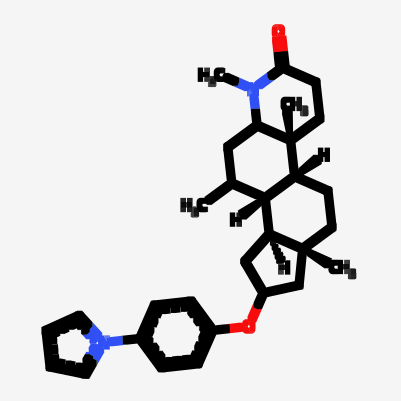 CC1CC2N(C)C(=O)CC[C@]2(C)[C@@H]2CC[C@]3(C)CC(Oc4ccc(-n5cccc5)cc4)C[C@H]3[C@H]12